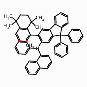 Cc1ccc2c(c1-c1cc3c(cc1N(c1ccccc1)c1cccc4ccccc14)C(c1ccccc1)(c1ccccc1)c1ccccc1-3)C(C)(C)CCC2(C)C